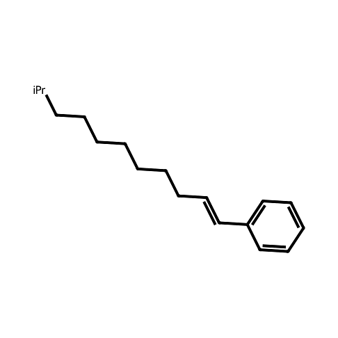 CC(C)CCCCCCCC=Cc1ccccc1